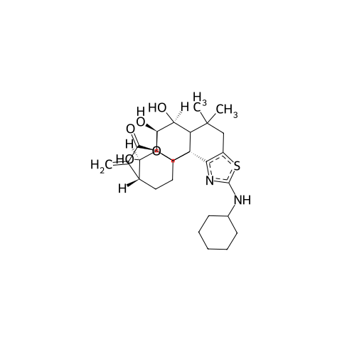 C=C1C(=O)[C@@]23C(CC[C@H]1[C@H]2O)[C@@]12CO[C@]3(O)[C@@H](O)C1C(C)(C)Cc1sc(NC3CCCCC3)nc12